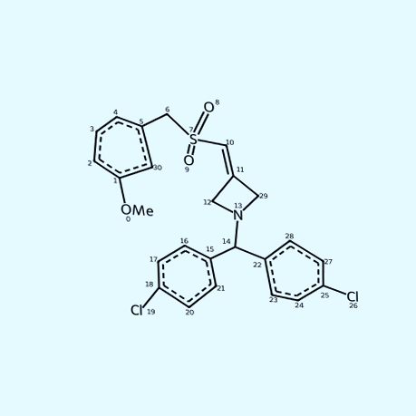 COc1cccc(CS(=O)(=O)C=C2CN(C(c3ccc(Cl)cc3)c3ccc(Cl)cc3)C2)c1